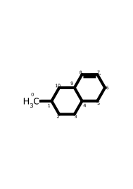 CC1CCC2CC[C]=CC2C1